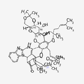 COC(=O)/C(C)=C\CC1(O)C(=O)C2CC(C(C)C)C13Oc1c(CC=C(C)C)c4c(c(O[C@@H]5O[C@@H]6COC(C)(C)O[C@H]6[C@H](O)[C@H]5O)c1C1=C3C2n2c(nc3ccccc32)N1)C=CC(C)(CCC=C(C)C)O4